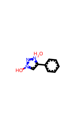 O.On1cc(-c2ccccc2)nn1